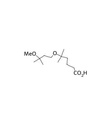 COC(C)(C)CCOC(C)(C)CCCC(=O)O